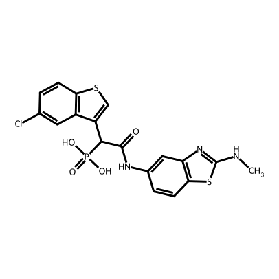 CNc1nc2cc(NC(=O)C(c3csc4ccc(Cl)cc34)P(=O)(O)O)ccc2s1